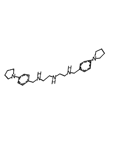 c1cc(N2CCCC2)ccc1CNCCNCCNCc1ccc(N2CCCC2)cc1